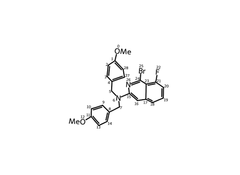 COc1ccc(CN(Cc2ccc(OC)cc2)c2cc3cccc(F)c3c(Br)n2)cc1